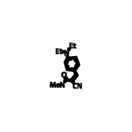 CCN(CC)c1ccc(C=C(C#N)C(=O)NC)cc1